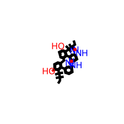 CCC(C)(C)C(C)(C)c1c(O)ccc(Cc2ccc(O)c(C(C)(C)C(C)(C)CC)c2-c2cccc3[nH]nnc23)c1-c1cccc2[nH]nnc12